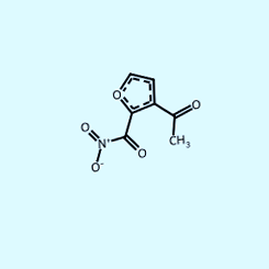 CC(=O)c1ccoc1C(=O)[N+](=O)[O-]